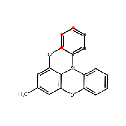 Cc1cc2c3c(c1)Oc1ccccc1[Si]3(c1ccccc1)c1ccccc1O2